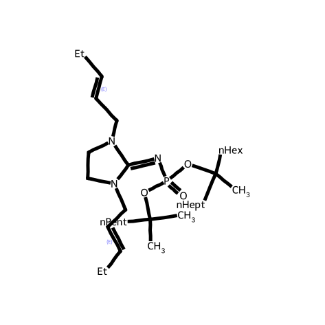 CC/C=C/CN1CCN(C/C=C/CC)C1=NP(=O)(OC(C)(C)CCCCC)OC(C)(CCCCCC)CCCCCCC